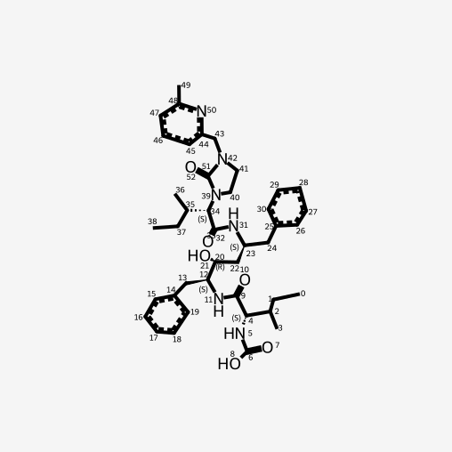 CCC(C)[C@H](NC(=O)O)C(=O)N[C@@H](Cc1ccccc1)[C@H](O)C[C@H](Cc1ccccc1)NC(=O)[C@H](C(C)CC)N1CCN(Cc2cccc(C)n2)C1=O